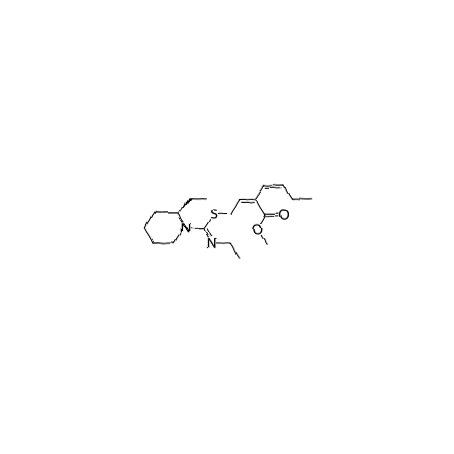 CC/C=C\C(=C\CS/C(=N\CC)N1CCCC[C@H]1CC)C(=O)OC